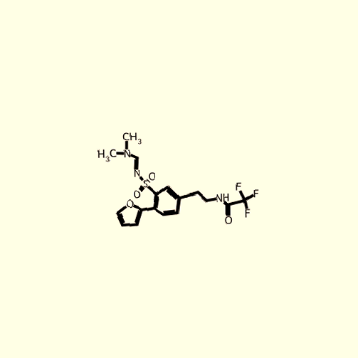 CN(C)C=NS(=O)(=O)c1cc(CCNC(=O)C(F)(F)F)ccc1-c1ccco1